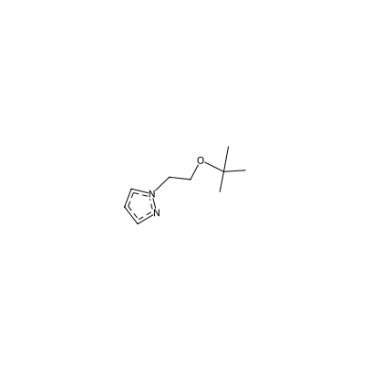 CC(C)(C)OCCn1cccn1